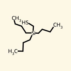 CCCC[Si](CS)(CCCC)CCCC